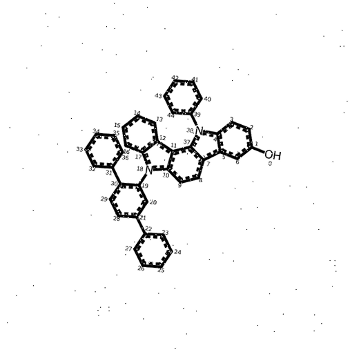 Oc1ccc2c(c1)c1ccc3c(c4ccccc4n3-c3cc(-c4ccccc4)ccc3-c3ccccc3)c1n2-c1ccccc1